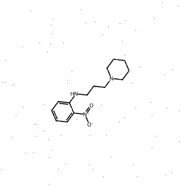 O=[N+]([O-])c1ccccc1NCCCN1CCCCC1